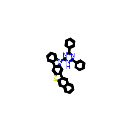 C1=CCCC(C2N=C(c3ccccc3)N=C(n3c4ccccc4c4cc5sc6cc7ccccc7cc6c5cc43)N2)=C1